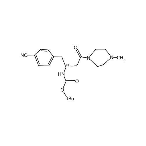 CN1CCN(C(=O)C[C@@H](Cc2ccc(C#N)cc2)NC(=O)OC(C)(C)C)CC1